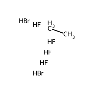 Br.Br.CC.F.F.F.F